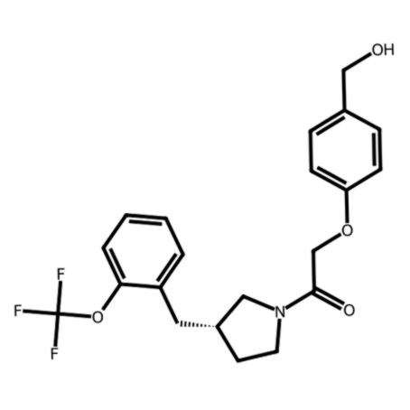 O=C(COc1ccc(CO)cc1)N1CC[C@H](Cc2ccccc2OC(F)(F)F)C1